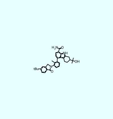 Cc1c(-c2ccc(C(N)=O)c3[nH]c4c(c23)CCC(C(C)(C)O)C4)cccc1N1Cc2cc(C(C)(C)C)ccc2C1=O